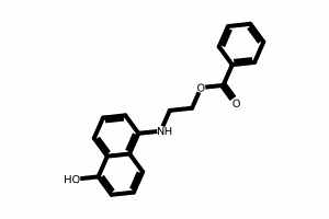 O=C(OCCNc1cccc2c(O)cccc12)c1ccccc1